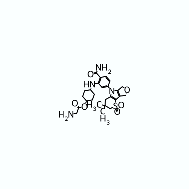 CC1(C)Cc2c(c3c(n2-c2ccc(C(N)=O)c(N[C@H]4CC[C@H](OC(=O)CN)CC4)c2)COC3)S(=O)(=O)C1